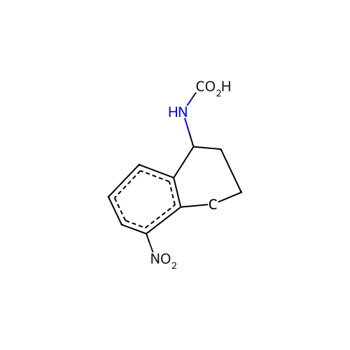 O=C(O)NC1CCCc2c1cccc2[N+](=O)[O-]